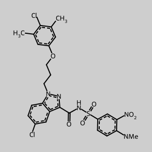 CNc1ccc(S(=O)(=O)NC(=O)c2nn(CCCOc3cc(C)c(Cl)c(C)c3)c3ccc(Cl)cc23)cc1[N+](=O)[O-]